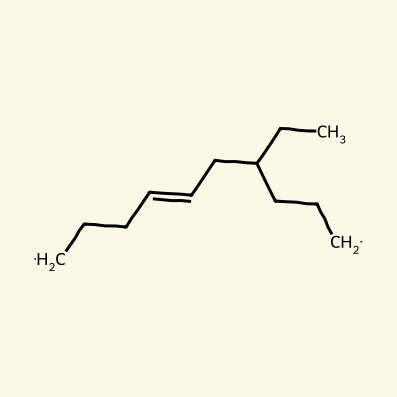 [CH2]CCC=CCC(CC)CC[CH2]